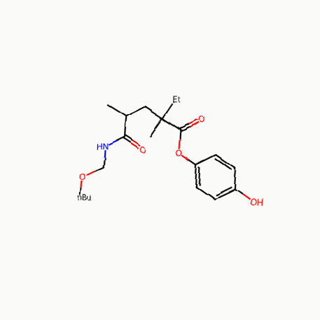 CCCCOCNC(=O)C(C)CC(C)(CC)C(=O)Oc1ccc(O)cc1